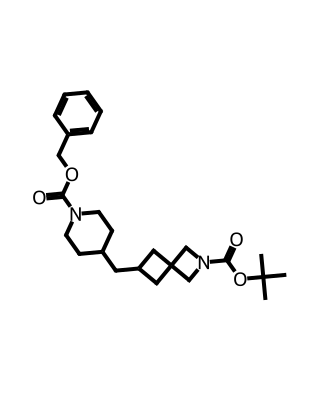 CC(C)(C)OC(=O)N1CC2(CC(CC3CCN(C(=O)OCc4ccccc4)CC3)C2)C1